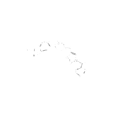 CC(C)S(=O)(=O)Nc1cccc([C@@H]2CCN(Cc3cn(Cc4ccccn4)nn3)C[C@@H]2O)c1